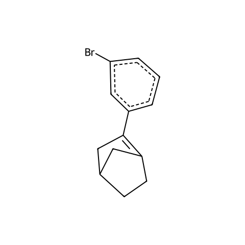 Brc1cccc(C2=C3CCC(C3)C2)c1